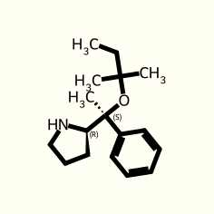 CCC(C)(C)O[C@@](C)(c1ccccc1)[C@H]1CCCN1